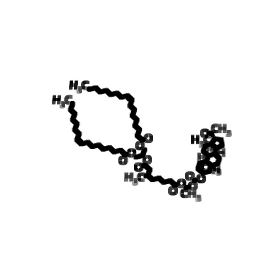 CCCCCCCC/C=C\CCCCCCCC(=O)OCC(COC(=O)CCCCCCC/C=C\CCCCCCCC)OC(=O)CC(C)CCCCC(=O)OC(C)OC(=O)O[C@H]1CC[C@@]2(C)[C@@H](CC[C@@H]3[C@@H]2CC[C@]2(C)[C@@H](C(C)=O)CC[C@@H]32)C1